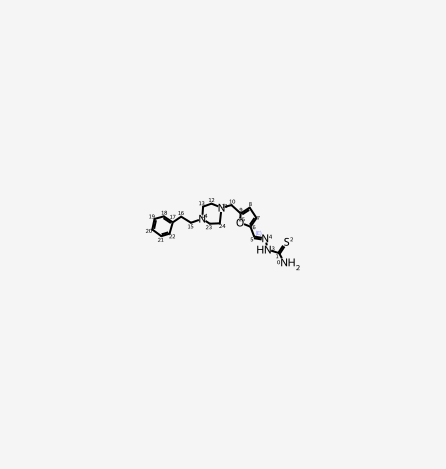 NC(=S)N/N=C/c1ccc(CN2CCN(CCc3ccccc3)CC2)o1